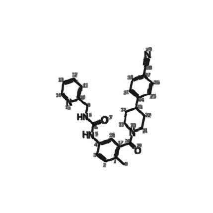 Cc1ccc(NC(=O)NCc2ccccn2)cc1C(=O)N1CCC(c2ccc(C#N)cc2)CC1